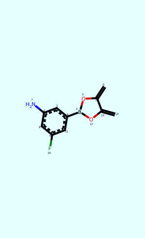 C=C1OB(c2cc(N)cc(F)c2)OC1=C